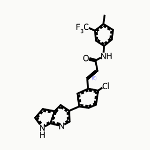 Cc1ccc(NC(=O)/C=C/c2cc(-c3cnc4[nH]ccc4c3)ccc2Cl)cc1C(F)(F)F